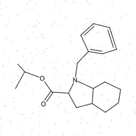 CC(C)OC(=O)C1CC2CCCCC2N1Cc1ccccc1